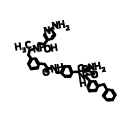 C[C@H](Cc1cccc(CC(=O)NCc2ccc(C(=O)NC(c3cccc(Cc4ccccc4)c3)S(N)(=O)=O)cc2)c1)NC[C@H](O)c1ccc(N)nc1